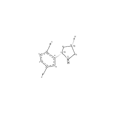 Fc1ccc(F)c([C@@H]2C[C@H](F)CN2)c1